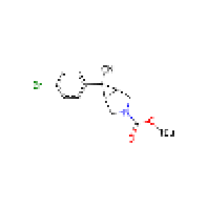 CC(C)(C)OC(=O)N1CC2C(C1)C2(C#N)c1ccc(Br)cc1